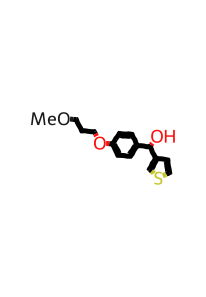 COCCCOc1ccc(C(O)c2ccsc2)cc1